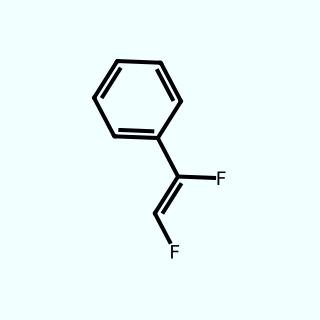 F/C=C(\F)c1ccccc1